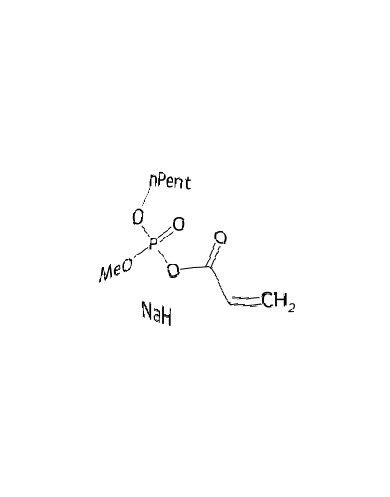 C=CC(=O)OP(=O)(OC)OCCCCC.[NaH]